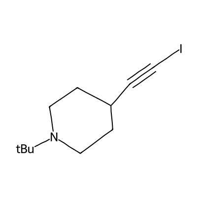 CC(C)(C)N1CCC(C#CI)CC1